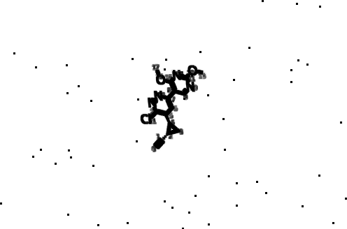 C#C[C@H]1C[C@@H]1c1cc(-c2cnc(OC)nc2OC)nnc1Cl